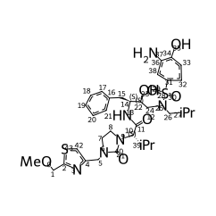 COCc1nc(CN2CCN([C@H](C(=O)N[C@@H](Cc3ccccc3)[C@@H](O)CN(CC(C)C)S(=O)(=O)c3ccc(O)c(N)c3)C(C)C)C2=O)cs1